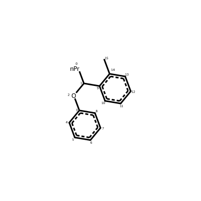 CCCC(Oc1ccccc1)c1ccccc1C